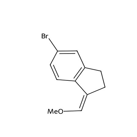 CO/C=C1/CCc2cc(Br)ccc21